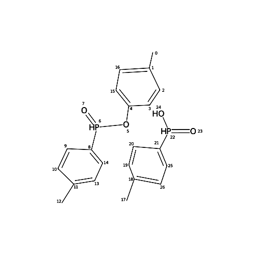 Cc1ccc(O[PH](=O)c2ccc(C)cc2)cc1.Cc1ccc([PH](=O)O)cc1